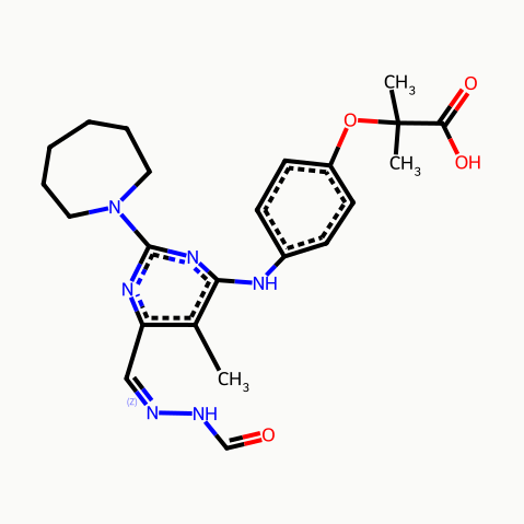 Cc1c(/C=N\NC=O)nc(N2CCCCCC2)nc1Nc1ccc(OC(C)(C)C(=O)O)cc1